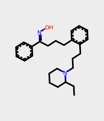 CCC1CCCCN1CCCc1ccccc1CCCC(=NO)c1ccccc1